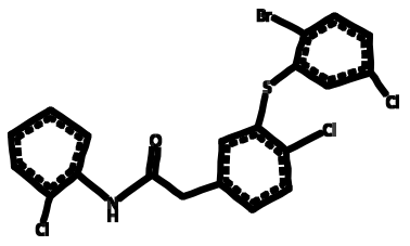 O=C(Cc1ccc(Cl)c(Sc2cc(Cl)ccc2Br)c1)Nc1ccccc1Cl